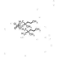 CCC[N+](C)(C)C.CCC[N+](C)(C)C.O=S(=O)([O-])[O-]